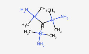 C[N+](C)(N)[SiH]([N+](C)(C)N)[N+](C)(C)N